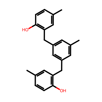 Cc1cc(Cc2cc(C)ccc2O)[c]c(Cc2cc(C)ccc2O)c1